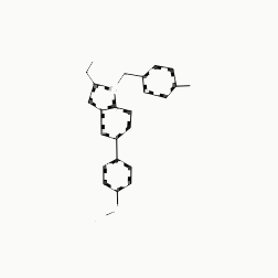 Cc1ccc(Cn2c(CO)cc3cc(-c4ccc(OC(F)(F)F)cc4)ccc32)cc1